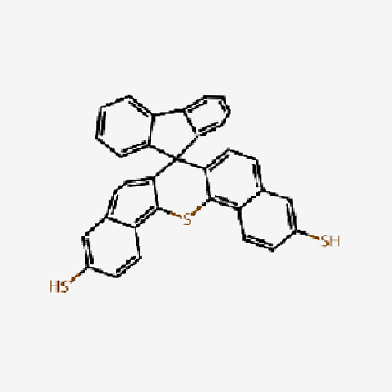 Sc1ccc2c3c(ccc2c1)C1(c2ccccc2-c2ccccc21)c1ccc2cc(S)ccc2c1S3